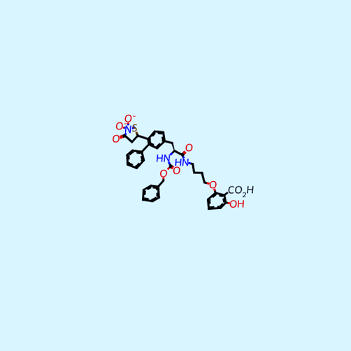 O=C(N[C@@H](Cc1ccc(C2CC(=O)[N+]([O-])([O-])S2)c(-c2ccccc2)c1)C(=O)NCCCCOc1cccc(O)c1C(=O)O)OCc1ccccc1